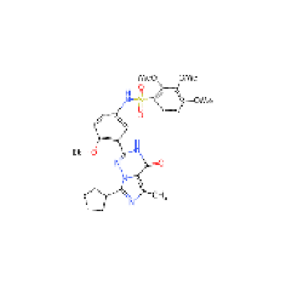 CCOc1ccc(NS(=O)(=O)c2ccc(OC)c(OC)c2OC)cc1-c1nn2c(C3CCCC3)nc(C)c2c(=O)[nH]1